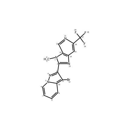 Cn1c(-c2nn3ccccc3c2Br)nc2cc(C(F)(F)F)ncc21